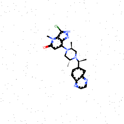 C[C@@H]1CN(c2cc(=O)n(C)c3c(Cl)[nH]nc23)[C@@H](C)CN1[C@@H](C)c1ccc2nccnc2c1